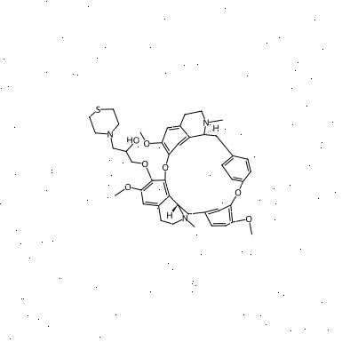 COc1ccc2cc1Oc1ccc(cc1)C[C@H]1c3cc(c(OC)cc3CCN1C)Oc1c(OCC(O)CN3CCSCC3)c(OC)cc3c1[C@H](C2)N(C)CC3